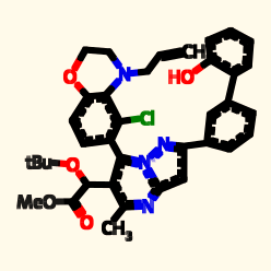 C=CCN1CCOc2ccc(-c3c(C(OC(C)(C)C)C(=O)OC)c(C)nc4cc(-c5cccc(-c6ccccc6O)c5)nn34)c(Cl)c21